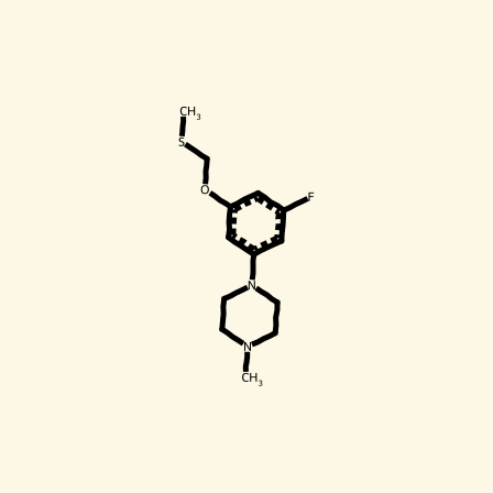 CSCOc1cc(F)cc(N2CCN(C)CC2)c1